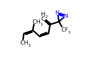 C=C(/C=C\C(C)=C/C)C1(C(F)(F)F)N=N1